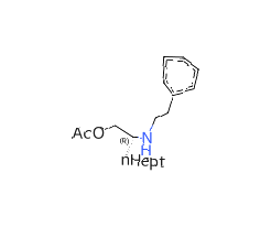 CCCCCCC[C@H](COC(C)=O)NCCc1ccccc1